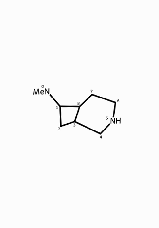 CNC1CC2CNCCC21